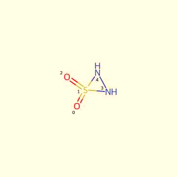 O=S1(=O)NN1